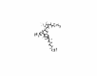 C=CCC(C)CCC(=CCCCCCCCCCC)CC(C)CC=C